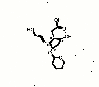 O=C(O)C[C@@H]1[C@@H](C=CCO)[C@H](OC2CCCCO2)C[C@@H]1O